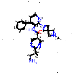 CC(=O)N1CC2(C1)CN(c1nccc(-c3ccccc3)c1NC(=O)c1cnc(C(C)CN)nc1)C2